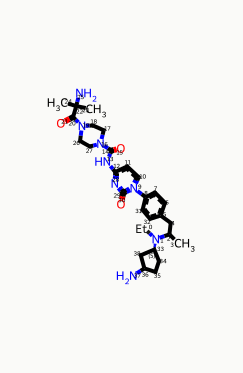 CCN(C(C)Cc1ccc(-n2ccc(NC(=O)N3CCN(C(=O)C(C)(C)N)CC3)nc2=O)cc1)[C@H]1CCC(N)C1